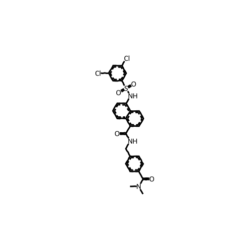 CN(C)C(=O)c1ccc(CNC(=O)c2cccc3c(NS(=O)(=O)c4cc(Cl)cc(Cl)c4)cccc23)cc1